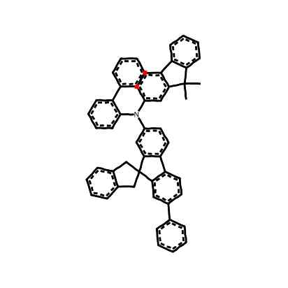 CC1(C)c2ccccc2-c2ccc(N(c3ccc4c(c3)C3(Cc5ccccc5C3)c3cc(-c5ccccc5)ccc3-4)c3ccccc3-c3ccccc3)cc21